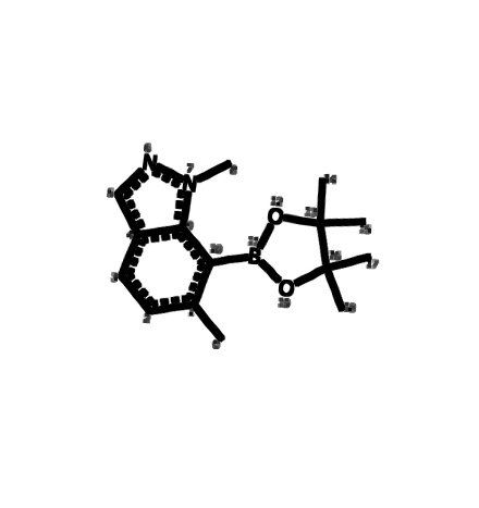 Cc1ccc2cnn(C)c2c1B1OC(C)(C)C(C)(C)O1